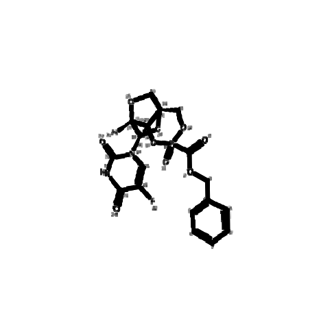 O=C(OCc1ccccc1)P1(=O)OC[C@@]23CO[C@@H]([C@H](n4cc(F)c(=O)[nH]c4=O)O2)[C@@H]3O1